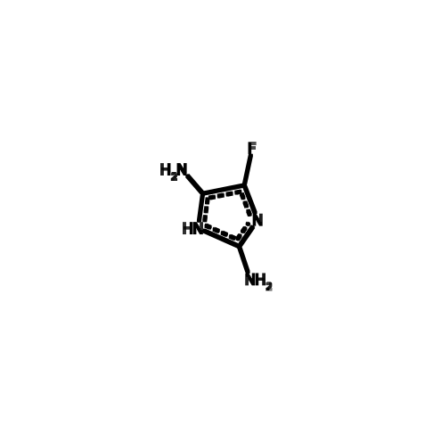 Nc1nc(F)c(N)[nH]1